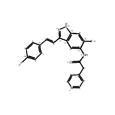 O=C(Cc1ccncc1)Nc1cc2c(C=Cc3ccc(F)cc3)n[nH]c2cc1F